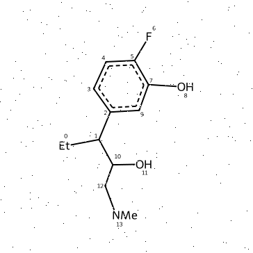 CCC(c1ccc(F)c(O)c1)C(O)CNC